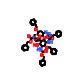 CN(C[C@H]1OC(O[C@H]2[C@H](O)[C@@H](O)[C@H](NC(=O)OCc3ccccc3)[C@@H](OCc3ccccc3)[C@@H]2NC(=O)OCc2ccccc2)[C@H](N=[N+]=[N-])C[C@@H]1OCc1ccccc1)C(=O)OCc1ccccc1